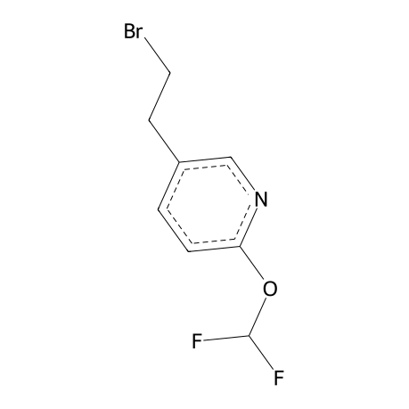 FC(F)Oc1ccc(CCBr)cn1